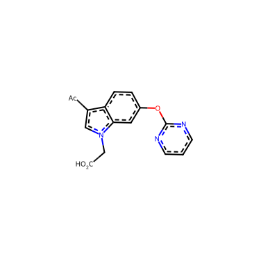 CC(=O)c1cn(CC(=O)O)c2cc(Oc3ncccn3)ccc12